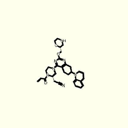 C=CC(=O)N1CCN(c2nc(OC[C@H]3CNCCO3)nc3c2CCC(N2CCCc4ccccc42)C3)C[C@@H]1CC#N